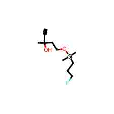 C#CC(C)(O)CCO[Si](C)(C)CCCF